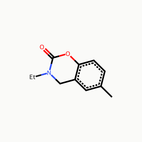 CCN1Cc2cc(C)ccc2OC1=O